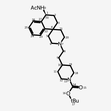 CC(=O)N[C@H]1CCC2(CCN(CCC3CCN(C(=O)OC(C)(C)C)CC3)CC2)c2ccccc21